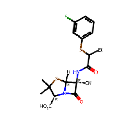 CCC(Sc1cccc(F)c1)C(=O)N[C@@]1(C#N)C(=O)N2[C@@H](C(=O)O)C(C)(C)S[C@@H]21